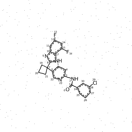 O=C(Nc1ccc(C2(c3nc4cc(F)cc(F)c4[nH]3)CCC2)cn1)c1cccc(Cl)c1